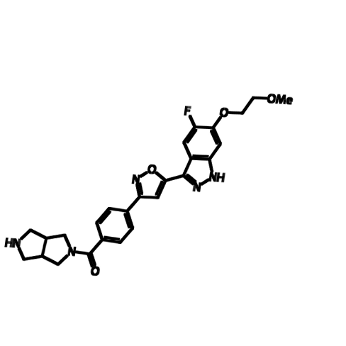 COCCOc1cc2[nH]nc(-c3cc(-c4ccc(C(=O)N5CC6CNCC6C5)cc4)no3)c2cc1F